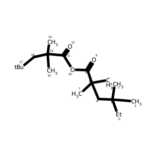 CCC(C)(C)CC(C)(C)C(=O)OC(=O)C(C)(C)CC(C)(C)C